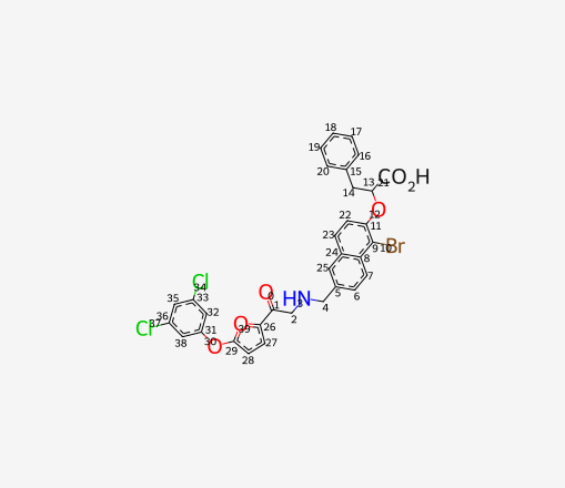 O=C(CNCc1ccc2c(Br)c(OC(Cc3ccccc3)C(=O)O)ccc2c1)c1ccc(Oc2cc(Cl)cc(Cl)c2)o1